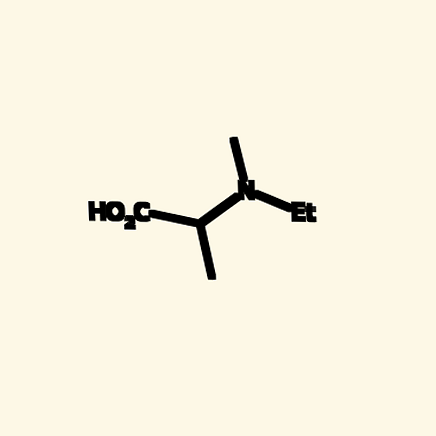 CCN(C)C(C)C(=O)O